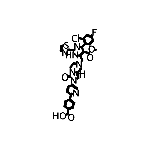 COC(=O)C1=C(CN2CCN3C(=O)N(c4ccc(-c5ccc(C(=O)O)cc5)nc4)C[C@@H]3C2)NC(c2nccs2)=NC1c1ccc(F)cc1Cl